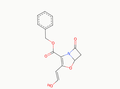 O=C(OCc1ccccc1)C1=C(C=CO)OC2CC(=O)N12